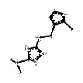 Cc1[nH]ccc1CNc1nnc(N(C)C)[nH]1